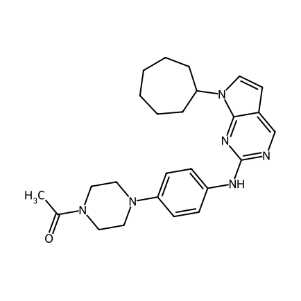 CC(=O)N1CCN(c2ccc(Nc3ncc4ccn(C5CCCCCC5)c4n3)cc2)CC1